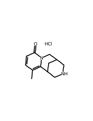 Cc1ccc(=O)n2c1C1CNCC(C1)C2.Cl